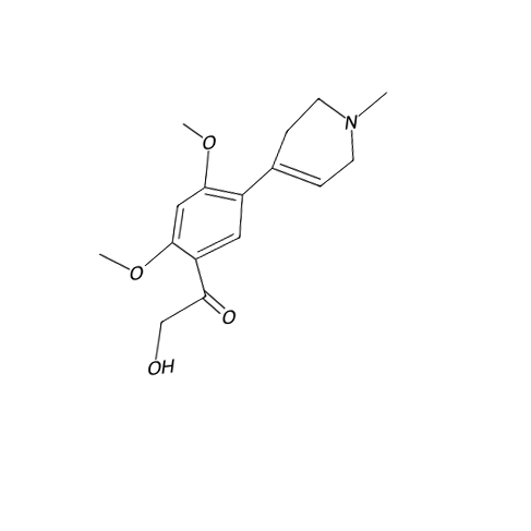 COc1cc(OC)c(C2=CCN(C)CC2)cc1C(=O)CO